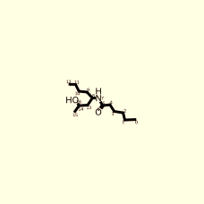 CCCCCC(=O)NC(CCCC)CC(C)O